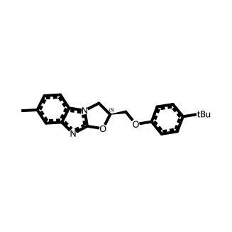 Cc1ccc2c(c1)nc1n2C[C@@H](COc2ccc(C(C)(C)C)cc2)O1